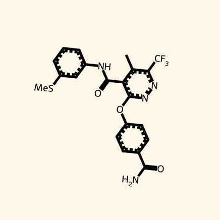 CSc1cccc(NC(=O)c2c(Oc3ccc(C(N)=O)cc3)nnc(C(F)(F)F)c2C)c1